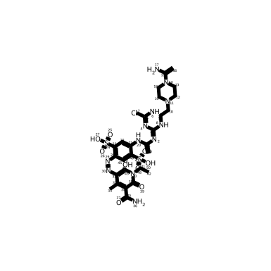 C=C(/N=C(\N=C(/N)Cl)NCCN1CCN(C(=C)N)CC1)Nc1cc(S(=O)(=O)O)c(/N=N\c2c(C)c(C(N)=O)c(=O)n(CC)c2O)cc1S(=O)(=O)O